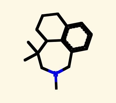 CN1Cc2cccc3c2C(CCC3)C(C)(C)C1